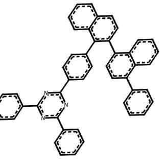 c1ccc(-c2nc(-c3ccccc3)nc(-c3ccc(-c4c(-c5ccc(-c6ccccc6)c6ccccc56)ccc5ccccc45)cc3)n2)cc1